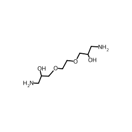 NCC(O)COCCOCC(O)CN